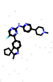 CC1=Nc2ccc(-c3nc(Nc4ccc(C5CCN(C)CC5)cn4)ncc3F)cc2C12CCCC2